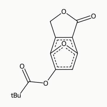 CC(C)(C)C(=O)Oc1cc2oc1c1c2C(=O)OC1